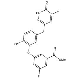 COC(=O)c1cc(F)cc(Oc2cc(Cc3cc(C)c(=O)[nH]n3)ccc2Cl)c1